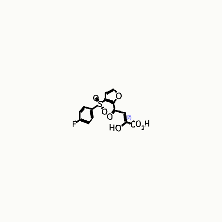 O=C(O)/C(O)=C/C(=O)c1occc1S(=O)(=O)c1ccc(F)cc1